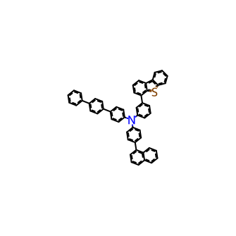 c1ccc(-c2ccc(-c3ccc(N(c4ccc(-c5cccc6ccccc56)cc4)c4cccc(-c5cccc6c5sc5ccccc56)c4)cc3)cc2)cc1